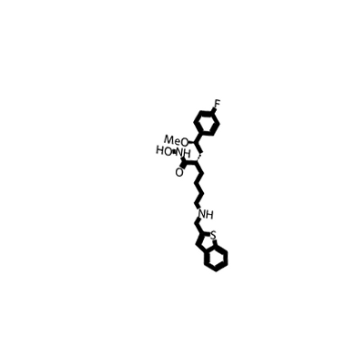 CO[C@H](C[C@H](CCCCNCc1cc2ccccc2s1)C(=O)NO)c1ccc(F)cc1